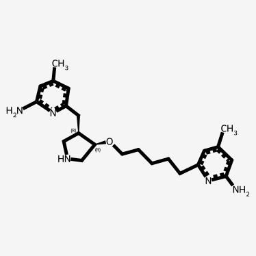 Cc1cc(N)nc(CCCCCO[C@H]2CNC[C@H]2Cc2cc(C)cc(N)n2)c1